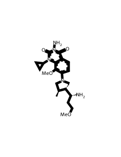 COCC[C@@H](N)[C@H]1CN(c2ccc3c(=O)n(N)c(=O)n(C4CC4)c3c2OC)C[C@@H]1C